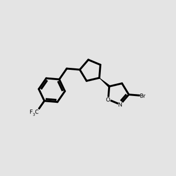 FC(F)(F)c1ccc(CC2CC[C@@H](C3CC(Br)=NO3)C2)cc1